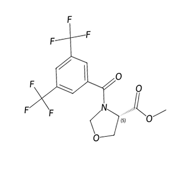 COC(=O)[C@@H]1COCN1C(=O)c1cc(C(F)(F)F)cc(C(F)(F)F)c1